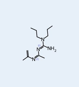 C=C(C)/N=C(C)\N=C(/N)N(CCC)CCC